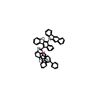 CC1C/C=C(c2ccc3sc4ccccc4c3c2)/N=C(c2c3ccccc3c(-n3c4ccccc4c4cc5ccccc5cc43)c3oc4ccccc4c23)\N=C/1c1ccc(-c2ccccc2)cc1